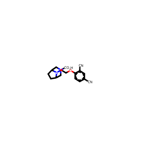 N#Cc1ccc(OCCN2C3CCC2CN(C(=O)O)C3)c(C#N)c1